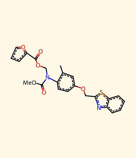 COC(=O)N(COC(=O)c1ccco1)c1ccc(OCc2nc3ccccc3s2)cc1C